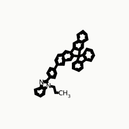 CCCn1c(-c2ccc(-c3ccc4cc5c(cc4c3)C3(c4ccccc4-c4ccccc43)c3cc4ccccc4cc3-5)cc2)nc2ccccc21